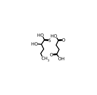 CCCC(O)C(O)=S.O=C(O)CCC(=O)O